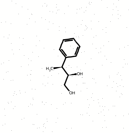 C[C@@H](c1ccccc1)[C@@H](O)CO